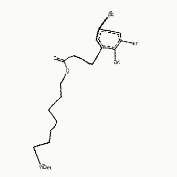 CCCCCCCCCCCCCCCCCOC(=O)CCc1cc(C(C)(C)C)cc(CC)c1O